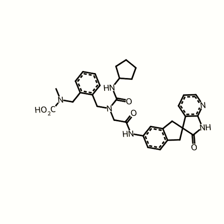 CN(Cc1ccccc1CN(CC(=O)Nc1ccc2c(c1)CC1(C2)C(=O)Nc2ncccc21)C(=O)NC1CCCC1)C(=O)O